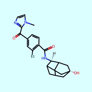 CCc1cc(C(=O)c2nccn2C)ccc1C(=O)N[C@H]1C2CC3CC1C[C@](O)(C3)C2